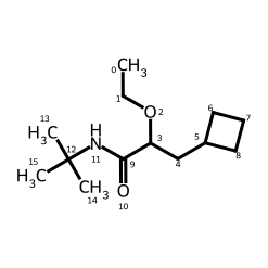 CCOC(CC1CCC1)C(=O)NC(C)(C)C